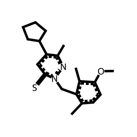 COc1ccc(C)c(Cn2nc(C)c(C3CCCC3)cc2=S)c1C